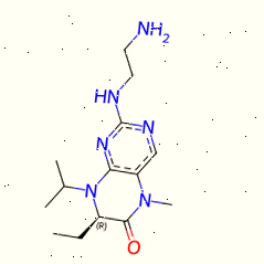 CC[C@@H]1C(=O)N(C)c2cnc(NCCN)nc2N1C(C)C